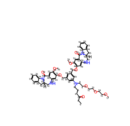 CCC(=O)CCCN(CCOCCOCCOC)c1cc(COc2cc3c(cc2OC)C(=O)N2c4ccccc4C[C@H]2CN3)cc(COc2cc3c(cc2OC)C(=O)N2c4ccccc4C[C@H]2CN3)c1